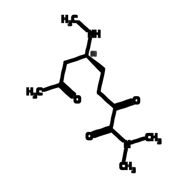 CN[C@@H](CCC(=O)C(=O)N(C)C)CC(C)=O